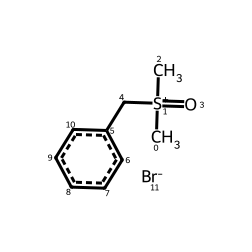 C[S+](C)(=O)Cc1ccccc1.[Br-]